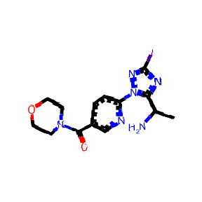 CC(N)c1nc(I)nn1-c1ccc(C(=O)N2CCOCC2)cn1